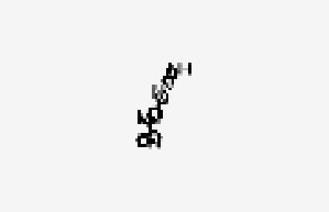 c1ccc2c(-c3cnc4cc(-c5ccc(N6CC7CNCC7C6)nc5)ccn34)ccnc2c1